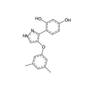 Cc1cc(C)cc(Oc2c[nH]nc2-c2ccc(O)cc2O)c1